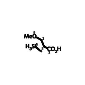 COCCC(=O)O.C[SiH3]